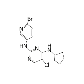 Clc1cnc(Nc2ccc(Br)nc2)nc1NC1CCCC1